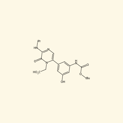 CC(C)Nc1ncc(-c2cc(O)cc(NC(=O)OC(C)(C)C)c2)n(CC(=O)O)c1=O